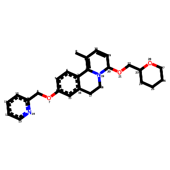 CC1=C2c3ccc(OCc4ccccn4)cc3CCN2C(OCC2CCCCO2)C=C1